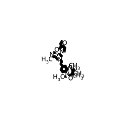 CCN1C(=O)C(C)(C)C(=O)N(C)c2cc(CCN(CCn3ccc4occc4c3=O)Cc3scnc3C)ccc21